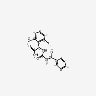 CN(C(=O)NC(C(=O)O)c1c(F)cccc1Cl)C(=O)c1ccccc1